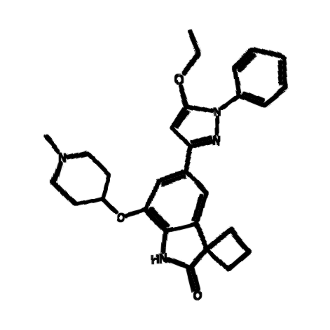 CCOc1cc(-c2cc(OC3CCN(C)CC3)c3c(c2)C2(CCC2)C(=O)N3)nn1-c1ccccc1